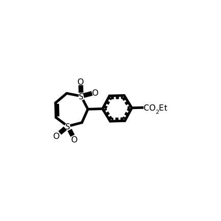 CCOC(=O)c1ccc(C2CS(=O)(=O)C=CCS2(=O)=O)cc1